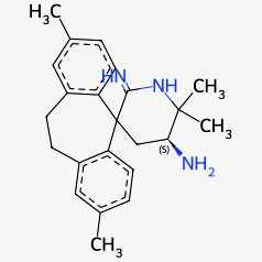 Cc1ccc2c(c1)CCc1cc(C)ccc1C21C[C@H](N)C(C)(C)NC1=N